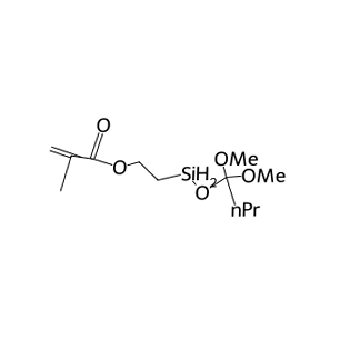 C=C(C)C(=O)OCC[SiH2]OC(CCC)(OC)OC